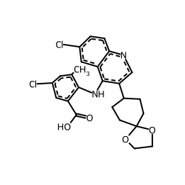 Cc1cc(Cl)cc(C(=O)O)c1Nc1c(C2CCC3(CC2)OCCO3)cnc2ccc(Cl)cc12